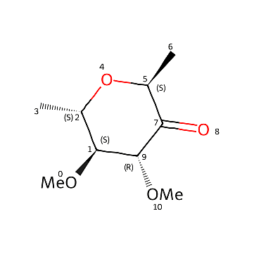 CO[C@H]1[C@H](C)O[C@@H](C)C(=O)[C@@H]1OC